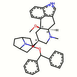 CO[C@]12C[C@H](CN3C4CCC3CC(OC(c3ccccc3)c3ccccc3)C4)CN(C)[C@@H]1Cc1c[nH]c3cccc2c13